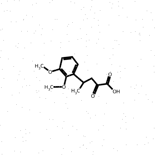 COc1cccc(C(C)CC(=O)C(=O)O)c1OC